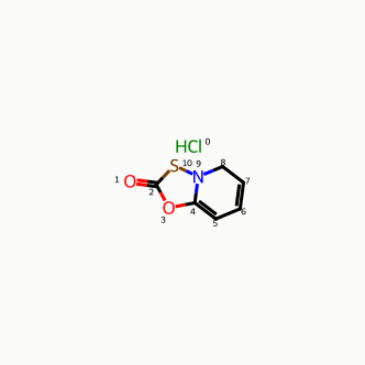 Cl.O=C1OC2=CC=CCN2S1